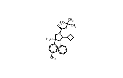 Cc1ccc([C@]2(C)CN(C(=O)OC(C)(C)C)C(C3CCC3)[C@@H]2c2ccccc2)cc1